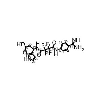 N=C(N)c1ccc(NC(=O)C(F)(F)C(F)(F)C(=O)NC(CC(=O)O)c2cc[nH]n2)cc1